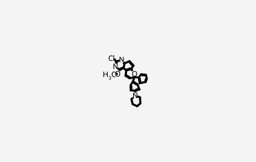 COc1nc(Cl)nc2ccc3c(c12)C=CC(c1ccccc1)(c1ccc(N2CCCCC2)cc1)O3